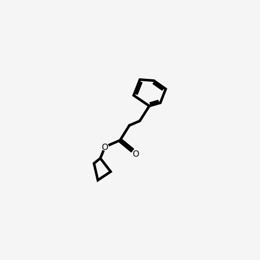 O=C(CCc1ccccc1)OC1CCC1